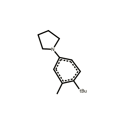 Cc1cc(N2CCCC2)ccc1C(C)(C)C